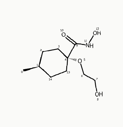 C[C@H]1CC[C@@](OCCO)(C(=O)NO)CC1